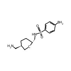 Bc1ccc(S(=O)(=O)NC[C@H]2CC[C@H](CN)CC2)cc1